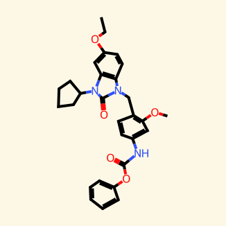 CCOc1ccc2c(c1)n(C1CCCC1)c(=O)n2Cc1ccc(NC(=O)Oc2ccccc2)cc1OC